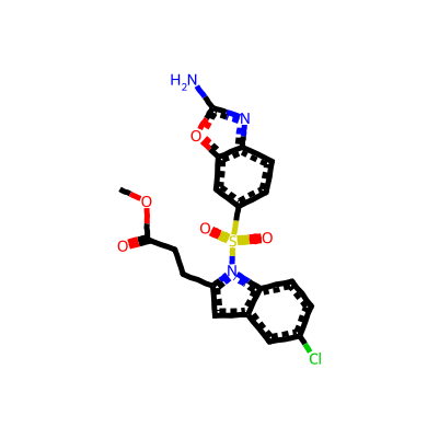 COC(=O)CCc1cc2cc(Cl)ccc2n1S(=O)(=O)c1ccc2nc(N)oc2c1